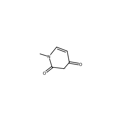 CN1C=CC(=O)[CH]C1=O